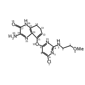 COCCNc1nc(Cl)cc(OC2=CCCc3[nH]c(=O)c(N)nc32)n1